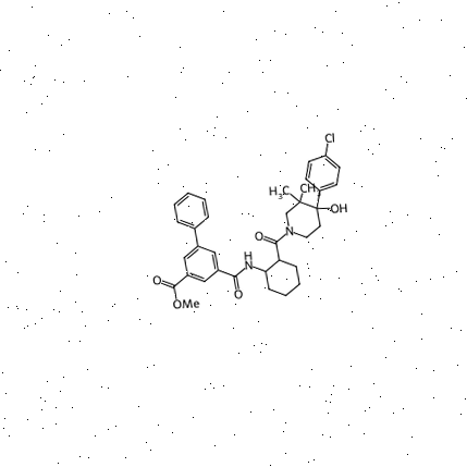 COC(=O)c1cc(C(=O)NC2CCCCC2C(=O)N2CCC(O)(c3ccc(Cl)cc3)C(C)(C)C2)cc(-c2ccccc2)c1